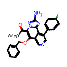 COC(=O)c1c(OCc2ccccc2)c2cncc(-c3ccc(F)cc3)c2c2nc(N)nn12